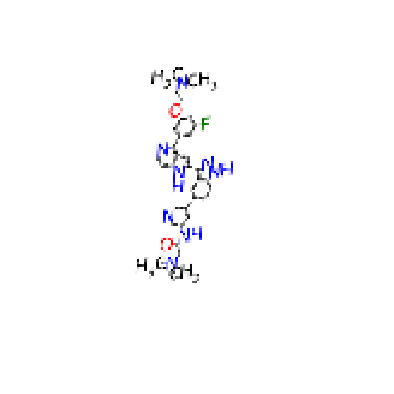 CN(C)CCOc1cc(F)cc(-c2nccc3[nH]c(-c4n[nH]c5ccc(-c6cncc(NC(=O)CN(C)C)c6)cc45)cc23)c1